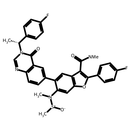 CNC(=O)c1c(-c2ccc(F)cc2)oc2cc(N(C)[S+](C)[O-])c(-c3ccc4ncn([C@H](C)c5ccc(F)cc5)c(=O)c4c3)cc12